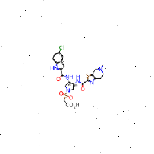 CN1CCc2nc(C(=O)N[C@@H]3CN(S(=O)(=O)CC(=O)O)C[C@H]3NC(=O)c3cc4cc(Cl)ccc4[nH]3)sc2C1